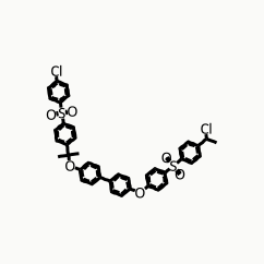 CC(Cl)c1ccc(S(=O)(=O)c2ccc(Oc3ccc(-c4ccc(OC(C)(C)c5ccc(S(=O)(=O)c6ccc(Cl)cc6)cc5)cc4)cc3)cc2)cc1